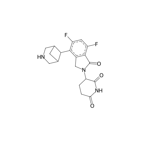 O=C1CCC(N2Cc3c(c(F)cc(F)c3C3C4CNCC3C4)C2=O)C(=O)N1